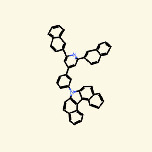 c1cc(-c2cc(-c3ccc4ccccc4c3)nc(-c3ccc4ccccc4c3)c2)cc(-n2c3ccc4ccccc4c3c3c4ccccc4ccc32)c1